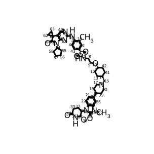 Cc1cc(S(=O)(=O)NCCO[C@H]2CC[C@H](CN3CCC(c4ccc5c(c4)n(C)c(=O)n5C4CCC(=O)NC4=O)CC3)CC2)ccc1Nc1ncc2c(n1)N(C1CCCC1)C(=O)C21CC1